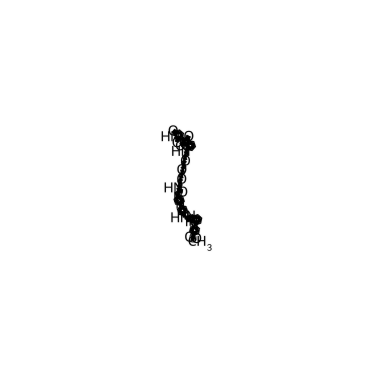 CS(=O)(=O)c1ccc(-c2cccc3nc(Nc4ccc(N5CCN(CC(=O)NCCOCCOCCOCCNc6cccc7c6C(=O)N(C6CCC(=O)NC6=O)C7=O)CC5)cc4)nn23)cc1